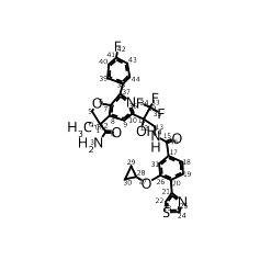 C[C@]1(C(N)=O)COc2c1cc(C(O)(CNC(=O)c1ccc(-c3cscn3)c(OC3CC3)c1)C(F)(F)F)nc2-c1ccc(F)cc1